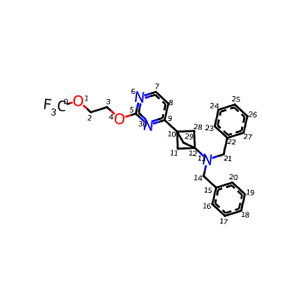 FC(F)(F)OCCOc1nccc(C23CC(N(Cc4ccccc4)Cc4ccccc4)(C2)C3)n1